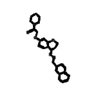 O=C(COc1ccc2c(c1)OCCC2=NOCc1ccc2ccccc2c1)N1CCCCC1